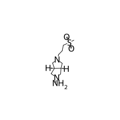 CS(=O)(=O)CCCN1C[C@H]2CN(N)C[C@H]2C1